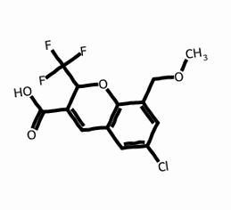 COCc1cc(Cl)cc2c1OC(C(F)(F)F)C(C(=O)O)=C2